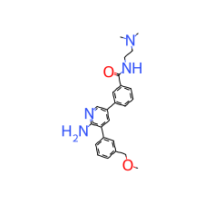 COCc1cccc(-c2cc(-c3cccc(C(=O)NCCN(C)C)c3)cnc2N)c1